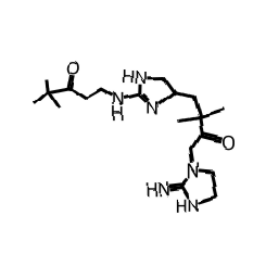 CC(C)(C)C(=O)CCNC1=NC(CC(C)(C)C(=O)CN2CCNC2=N)CN1